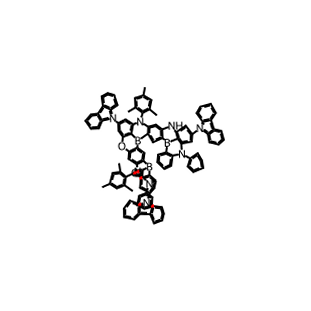 Cc1cc(C)c(N2c3cc4c(cc3B3c5cc6c(cc5Oc5cc(-n7c8ccccc8c8ccccc87)cc2c53)N(c2c(C)cc(C)cc2C)c2cc(-n3c5ccccc5c5ccccc53)cc3c2B6c2ccccc2N3c2ccccc2)B2c3ccccc3N(c3ccccc3)c3cc(-n5c6ccccc6c6ccccc65)cc(c32)N4)c(C)c1